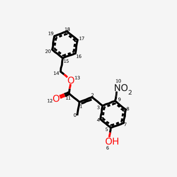 C/C(=C\c1cc(O)ccc1[N+](=O)[O-])C(=O)OCc1ccccc1